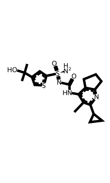 Cc1c(C2CC2)nc2c(c1NC(=O)N=[S@](N)(=O)c1cc(C(C)(C)O)cs1)CCC2